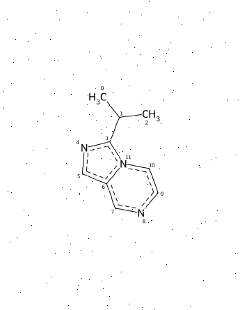 CC(C)c1ncc2cnccn12